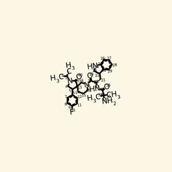 CC(C)N1CC(c2ccc(F)cc2)C2(CCCN(C(=O)[C@@H](CC3CNc4ccccc43)NC(=O)C(C)(C)N)C2)C1=O